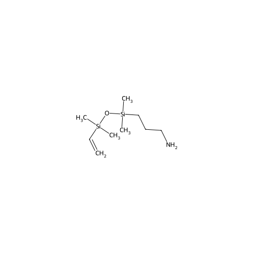 C=C[Si](C)(C)O[Si](C)(C)CCCN